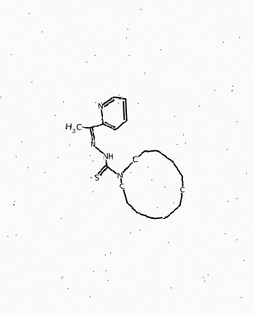 CC(=NNC(=S)N1CCCCCCCCCCCC1)c1ccccn1